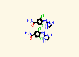 NC(=O)c1cc(Cl)c(N=C2NCCN2)c(Cl)c1.NC(=O)c1cc(Cl)c(N=C2NCCN2)c(Cl)c1